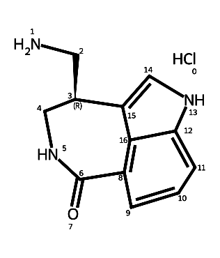 Cl.NC[C@@H]1CNC(=O)c2cccc3[nH]cc1c23